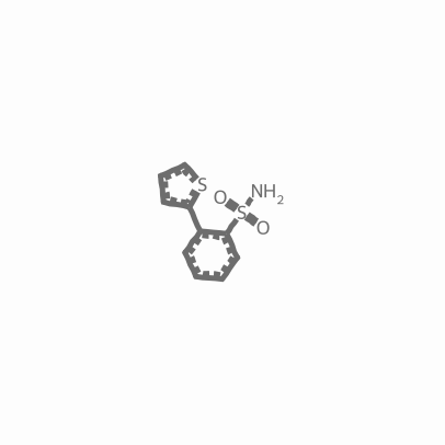 NS(=O)(=O)c1ccccc1-c1cccs1